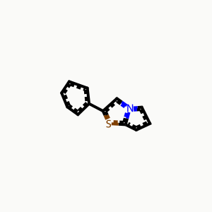 c1ccc(-c2cn3cccc3s2)cc1